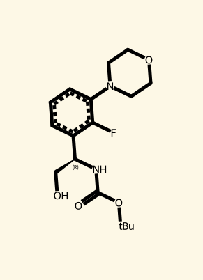 CC(C)(C)OC(=O)N[C@@H](CO)c1cccc(N2CCOCC2)c1F